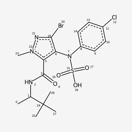 CC(NC(=O)c1c(N(c2ccc(Cl)cc2)S(=O)(=O)O)c(Br)nn1C)C(C)(C)C